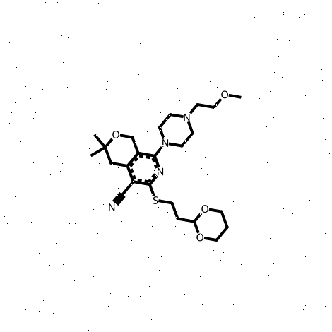 COCCN1CCN(c2nc(SCCC3OCCCO3)c(C#N)c3c2COC(C)(C)C3)CC1